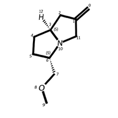 C=C1C[C@@H]2CC[C@@H](COC)N2C1